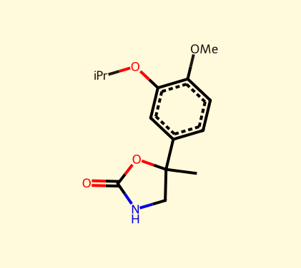 COc1ccc(C2(C)CNC(=O)O2)cc1OC(C)C